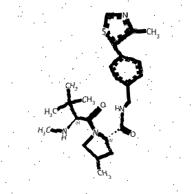 CN[C@H](C(=O)N1CC(C)C[C@H]1C(=O)NCc1ccc(-c2scnc2C)cc1)C(C)(C)C